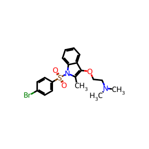 Cc1c(OCCN(C)C)c2ccccc2n1S(=O)(=O)c1ccc(Br)cc1